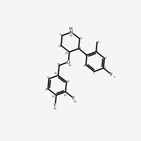 Cc1cc(F)ccc1C1CNCCC1OCc1ccc(F)c(F)c1